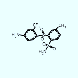 Cc1ccc(S(N)(=O)=O)c(S(=O)(=O)c2ccc(N)cc2C(F)(F)F)c1